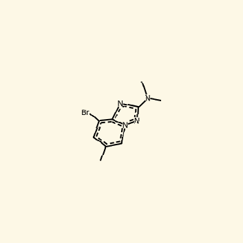 Cc1cc(Br)c2nc(N(C)C)nn2c1